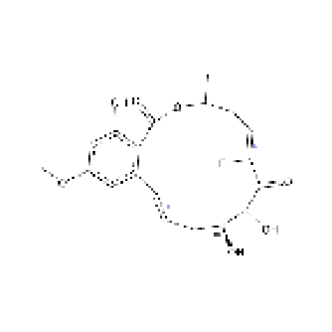 COc1cc(O)c2c(c1)/C=C/C[C@H](O)C(O)C(=O)/C(F)=C/CC(C)OC2=O